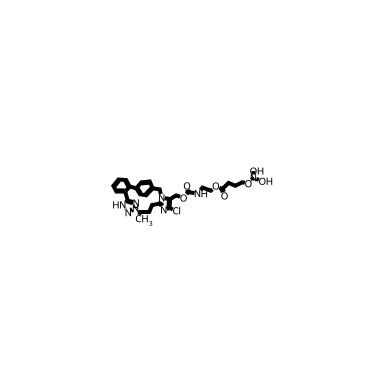 CCCCc1nc(Cl)c(COC(=O)NCCOC(=O)CCCON(O)O)n1Cc1ccc(-c2ccccc2-c2nnn[nH]2)cc1